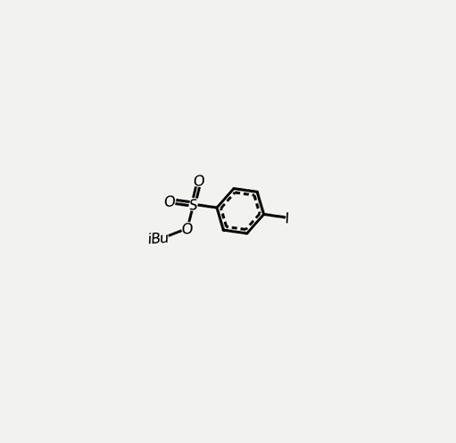 [CH2]C(CC)OS(=O)(=O)c1ccc(I)cc1